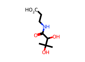 CC(C)(O)C(O)C(=O)NCCC(=O)O